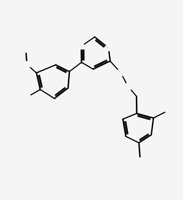 CCOc1cc(-c2cc(NCCc3ccc(Br)cc3F)ncn2)ccc1C(=O)O